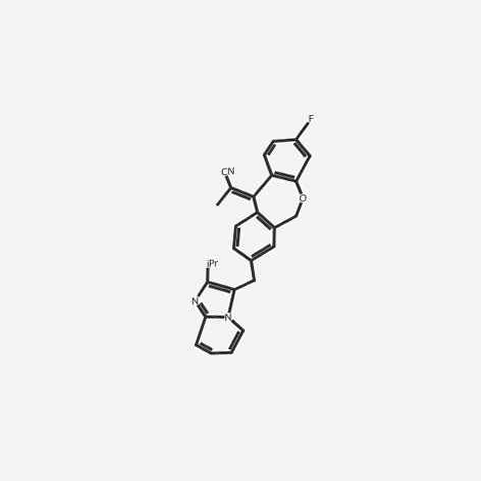 CC(C#N)=C1c2ccc(Cc3c(C(C)C)nc4ccccn34)cc2COc2cc(F)ccc21